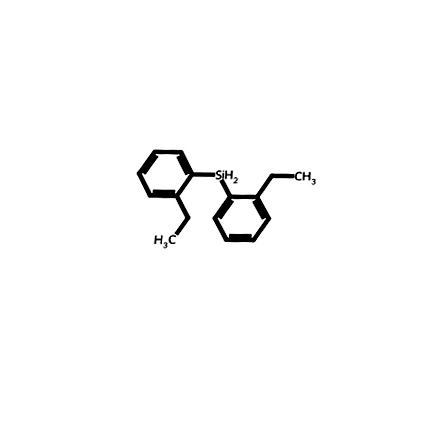 CCc1ccccc1[SiH2]c1ccccc1CC